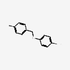 COc1ccc(NCc2ccc(Cl)cc2)cc1